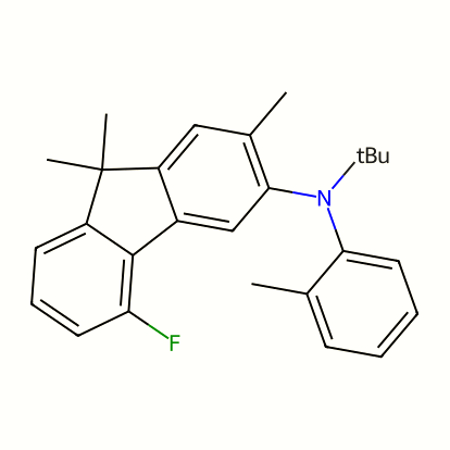 Cc1ccccc1N(c1cc2c(cc1C)C(C)(C)c1cccc(F)c1-2)C(C)(C)C